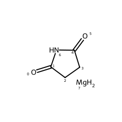 O=C1CCC(=O)N1.[MgH2]